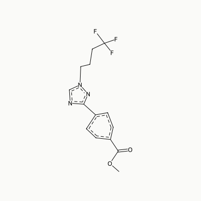 COC(=O)c1ccc(-c2ncn(CCCC(F)(F)F)n2)cc1